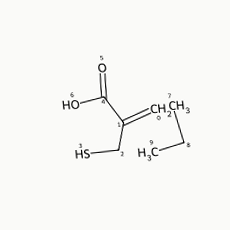 C=C(CS)C(=O)O.CCC